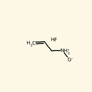 C=CC[NH2+][O-].F